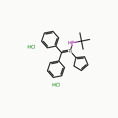 CC(C)(C)[PH][Ti]([C]1=CC=CC1)=[C](c1ccccc1)c1ccccc1.Cl.Cl